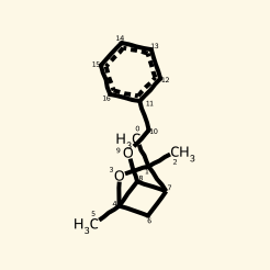 CC1(C)OC2(C)CC1C2OCc1ccccc1